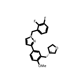 COc1ccc(-c2ccn(Cc3cccc(F)c3F)n2)cc1C[C@@H]1CCOC1